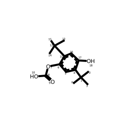 CC(C)(C)c1cc(OC(=O)O)c(C(C)(C)C)cc1O